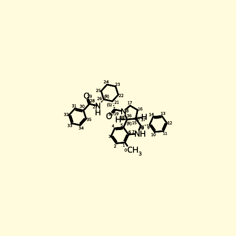 Cc1cccc2c1N[C@@H](c1ccccc1)[C@H]1CCN(C(=O)[C@H]3CCCC[C@H]3NC(=O)c3ccccc3)[C@@H]21